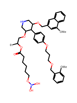 CCC(COC1CNCC(OCc2cc(OC)c3ccccc3c2)C1c1ccc(OCCCOCc2ccccc2OC)cc1)OC(=O)CCCCCON(O)O